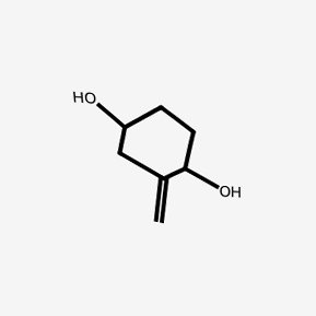 C=C1CC(O)CCC1O